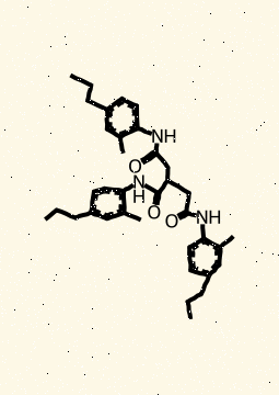 CCCc1ccc(NC(=O)CC(CC(=O)Nc2ccc(CCC)cc2C)C(=O)Nc2ccc(CCC)cc2C)c(C)c1